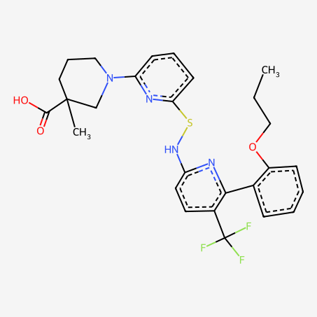 CCCOc1ccccc1-c1nc(NSc2cccc(N3CCCC(C)(C(=O)O)C3)n2)ccc1C(F)(F)F